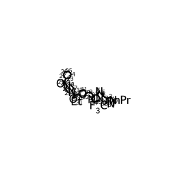 CCCn1cc(-c2cnc3c(Cc4ccc(C(=O)N5CCN(C(=O)C6CCCCC6)CC5)c(CC)c4)nccn23)c(C(F)(F)F)n1